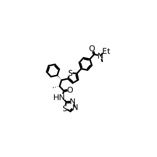 CCN(C)C(=O)c1ccc(-c2ccc([C@@H](C3C=CC=CC3)[C@@H](C)C(=O)Nc3nncs3)s2)cc1